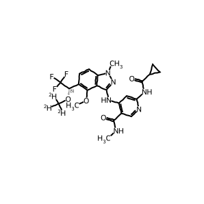 [2H]C([2H])([2H])O[C@@H](c1ccc2c(c(Nc3cc(NC(=O)C4CC4)ncc3C(=O)NC)nn2C)c1OC)C(F)(F)F